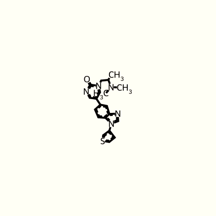 CC(Cn1cc(-c2ccc3c(c2)ncn3-c2ccsc2)cnc1=O)N(C)C